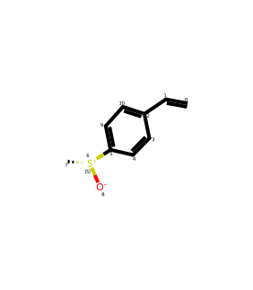 C=Cc1ccc([S@@+](C)[O-])cc1